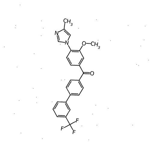 COc1cc(C(=O)c2ccc(-c3cccc(C(F)(F)F)c3)cc2)ccc1-n1cnc(C)c1